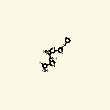 Oc1cc(F)cc(-c2cncc3[nH]c(-c4n[nH]c5cnc(-c6cncc(OCc7ccccc7)c6)cc45)cc23)c1